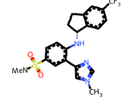 CNS(=O)(=O)c1ccc(N[C@@H]2CCc3cc(C(F)(F)F)ccc32)c(-c2cn(C)cn2)c1